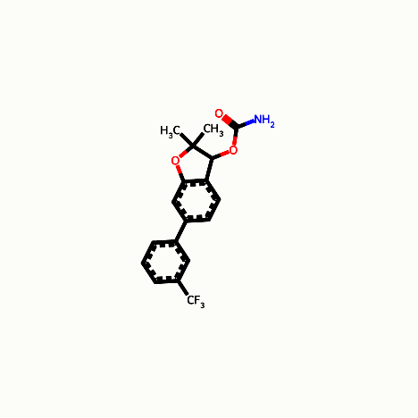 CC1(C)Oc2cc(-c3cccc(C(F)(F)F)c3)ccc2C1OC(N)=O